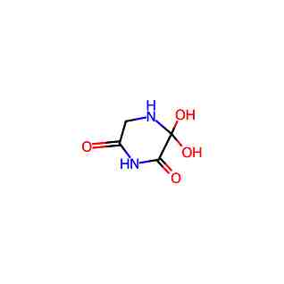 O=C1CNC(O)(O)C(=O)N1